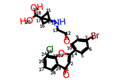 O=c1cc(-c2ccc(Br)cc2OCCNC23CC2(C(O)O)C3)oc2c(Cl)cccc12